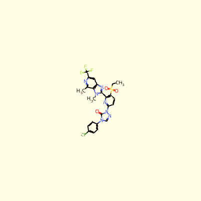 CCS(=O)(=O)c1ccc(-n2ncn(-c3ccc(Cl)cc3)c2=O)nc1-c1nc2cc(C(F)(F)F)nc(C)c2n1C